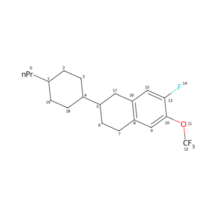 CCCC1CCC(C2CCc3cc(OC(F)(F)F)c(F)cc3C2)CC1